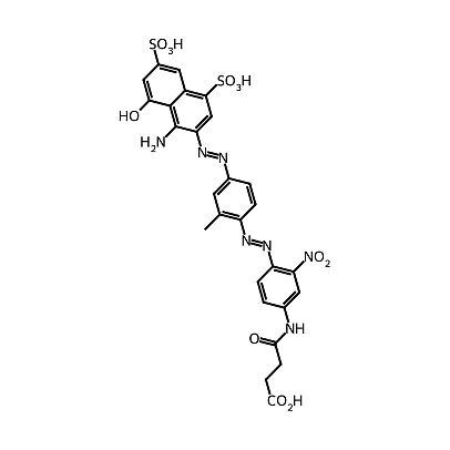 Cc1cc(/N=N/c2cc(S(=O)(=O)O)c3cc(S(=O)(=O)O)cc(O)c3c2N)ccc1/N=N/c1ccc(NC(=O)CCC(=O)O)cc1[N+](=O)[O-]